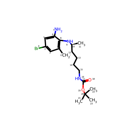 [CH2]c1cc(Br)cc(N)c1N[C@@H](C)CCCCNC(=O)OC(C)(C)C